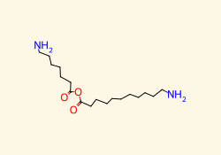 NCCCCCCCCCCC(=O)OC(=O)CCCCCCN